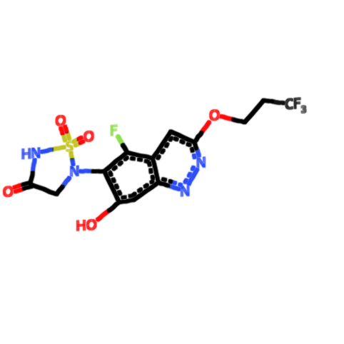 O=C1CN(c2c(O)cc3nnc(OCCC(F)(F)F)cc3c2F)S(=O)(=O)N1